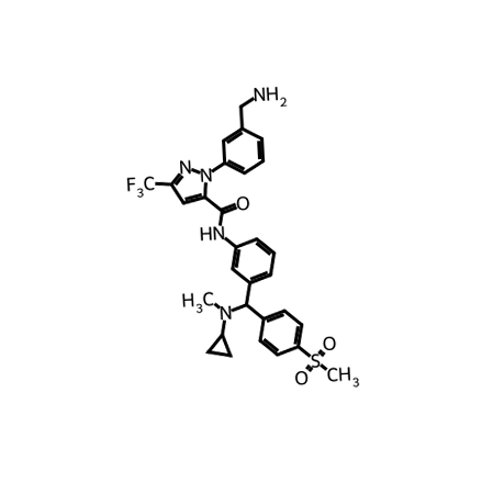 CN(C1CC1)C(c1ccc(S(C)(=O)=O)cc1)c1cccc(NC(=O)c2cc(C(F)(F)F)nn2-c2cccc(CN)c2)c1